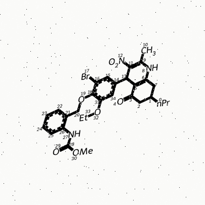 CCCC1CC(=O)C2=C(C1)NC(C)=C([N+](=O)[O-])C2c1cc(Br)c(OCc2ccccc2NC(=O)OC)c(OCC)c1